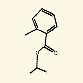 Cc1ccccc1C(=O)OC(C)I